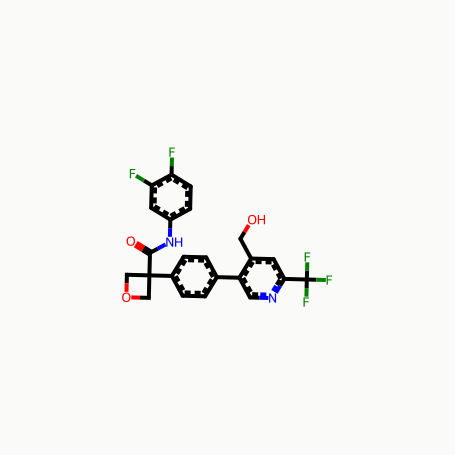 O=C(Nc1ccc(F)c(F)c1)C1(c2ccc(-c3cnc(C(F)(F)F)cc3CO)cc2)COC1